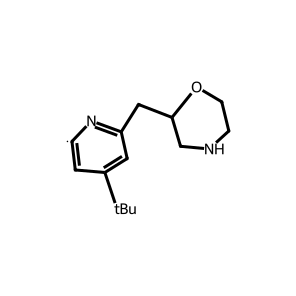 CC(C)(C)c1c[c]nc(CC2CNCCO2)c1